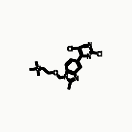 Cc1nc2cc(-c3nc(Cl)ncc3Cl)ccc2n1COCC[Si](C)(C)C